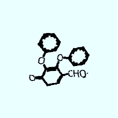 O=[C]C1=CCC(=O)C(Oc2ccccc2)=C1Oc1ccccc1